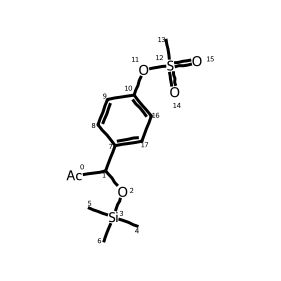 CC(=O)C(O[Si](C)(C)C)c1ccc(OS(C)(=O)=O)cc1